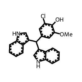 COc1cc(C(c2c[nH]c3ccccc23)c2c[nH]c3ccccc23)cc(Cl)c1O